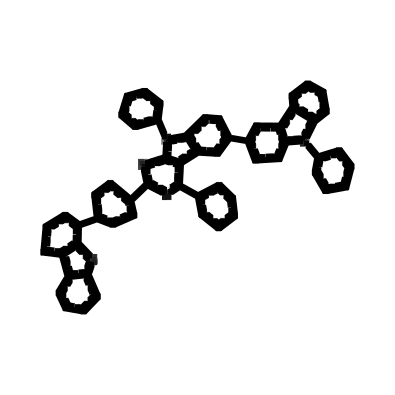 c1ccc(-c2nc(-c3ccc(-c4cccc5c4sc4ccccc45)cc3)nc3c2c2cc(-c4ccc5c(c4)c4ccccc4n5-c4ccccc4)ccc2n3-c2ccccc2)cc1